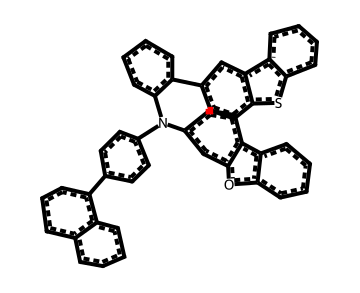 c1ccc(N(c2ccc(-c3cccc4ccccc34)cc2)c2ccc3c(c2)oc2ccccc23)c(-c2ccc3sc4ccccc4c3c2)c1